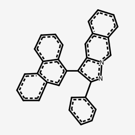 c1ccc(-c2nn3cc4ccccc4cc3c2-c2cc3ccccc3c3ccccc23)cc1